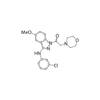 COc1ccc2c(c1)c(Nc1cccc(Cl)c1)nn2C(=O)CN1CCOCC1